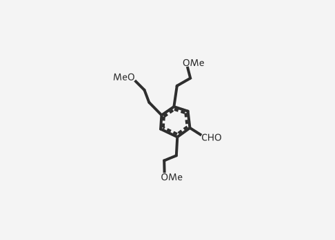 COCCc1cc(CCOC)c(CCOC)cc1C=O